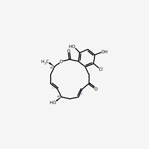 C[C@@H]1C/C=C/[C@H](O)C/C=C/C(=O)Cc2c(Cl)c(O)cc(O)c2C(=O)O1